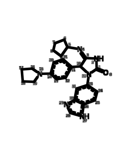 O=C1N/C(=N/C2CCCC2)C(c2ccc(N3CCCC3)cc2)N1c1ccc2[nH]cnc2c1